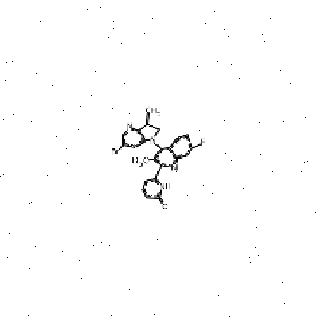 C=C1CN(c2c(C)c(-c3cccc(=O)[nH]3)nc3cc(F)ccc23)c2cc(Br)cnc21